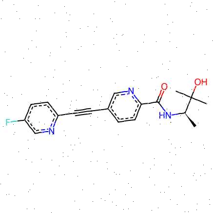 C[C@@H](NC(=O)c1ccc(C#Cc2ccc(F)cn2)cn1)C(C)(C)O